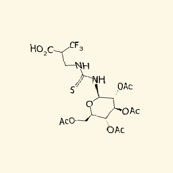 CC(=O)OC[C@H]1O[C@@H](NC(=S)NCC(C(=O)O)C(F)(F)F)[C@H](OC(C)=O)[C@@H](OC(C)=O)[C@@H]1OC(C)=O